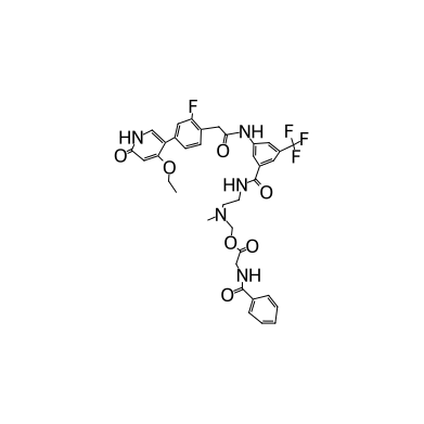 CCOc1cc(=O)[nH]cc1-c1ccc(CC(=O)Nc2cc(C(=O)NCCN(C)COC(=O)CNC(=O)c3ccccc3)cc(C(F)(F)F)c2)c(F)c1